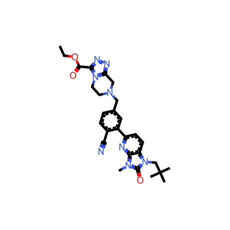 CCOC(=O)c1nnc2n1CCN(Cc1ccc(C#N)c(-c3ccc4c(n3)n(C)c(=O)n4CC(C)(C)C)c1)C2